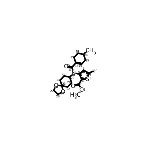 COC(=O)c1sc(I)cc1N(C(=O)C1=CCC(C)CC1)C1CCC2(CC1)OCCO2